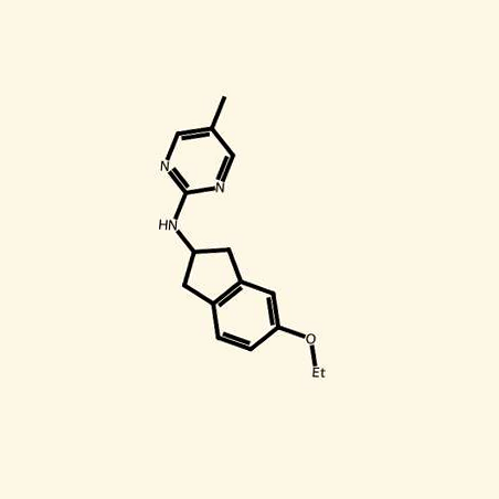 CCOc1ccc2c(c1)CC(Nc1ncc(C)cn1)C2